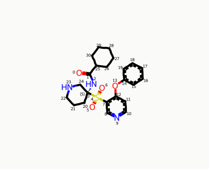 O=C(N[C@]1(S(=O)(=O)c2cnccc2Oc2ccccc2)CCCNC1)C1CCCCC1